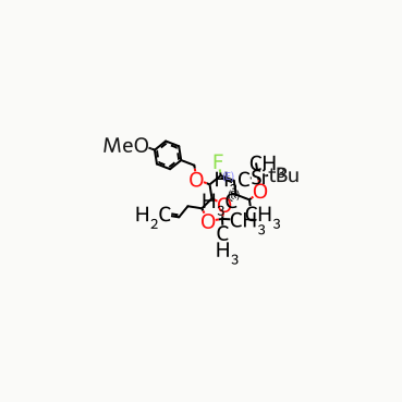 C=CCC1OC(C)(C)OC1C(OCc1ccc(OC)cc1)/C(F)=C\[C@@H](C)C(C)O[Si](C)(C)C(C)(C)C